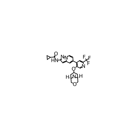 CN1[C@@H]2COC[C@H]1CC(Oc1cnc(C(F)(F)F)cc1-c1ccn3nc(NC(=O)C4CC4)cc3c1)C2